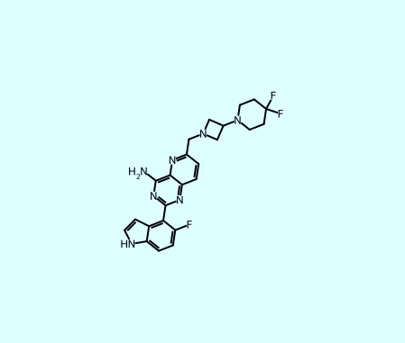 Nc1nc(-c2c(F)ccc3[nH]ccc23)nc2ccc(CN3CC(N4CCC(F)(F)CC4)C3)nc12